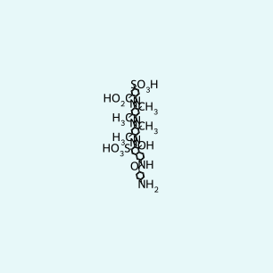 Cc1cc(N=Nc2ccc(S(=O)(=O)O)cc2C(=O)O)c(C)cc1N=Nc1cc(C)c(N=Nc2c(S(=O)(=O)O)cc3cc(NC(=O)c4ccc(N)cc4)ccc3c2O)cc1C